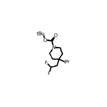 CC(C)C1(CC(F)F)CCN(C(=O)OC(C)(C)C)CC1